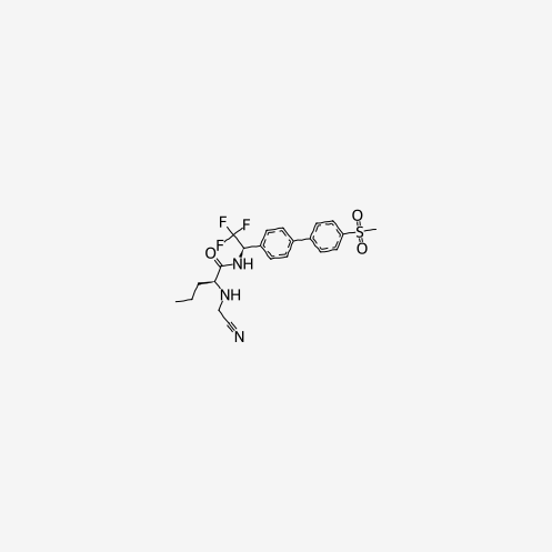 CCC[C@H](NCC#N)C(=O)N[C@H](c1ccc(-c2ccc(S(C)(=O)=O)cc2)cc1)C(F)(F)F